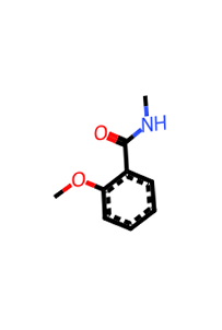 CNC(=O)c1ccccc1OC